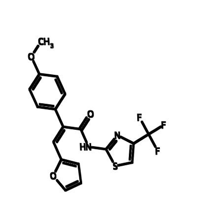 COc1ccc(C(=Cc2ccco2)C(=O)Nc2nc(C(F)(F)F)cs2)cc1